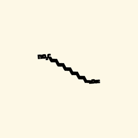 CCCCCCCCCCCC=CC=CC=CC=CC=CC(=O)OCC